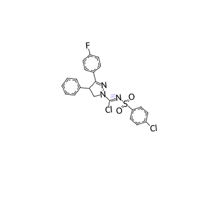 O=S(=O)(/N=C(\Cl)N1CC(c2ccccc2)C(c2ccc(F)cc2)=N1)c1ccc(Cl)cc1